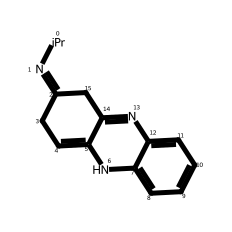 CC(C)N=C1CC=C2Nc3ccccc3N=C2C1